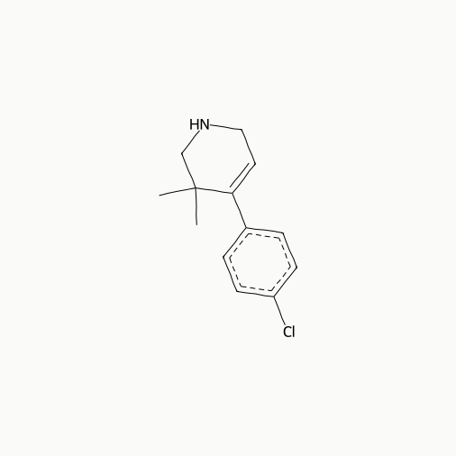 CC1(C)CNCC=C1c1ccc(Cl)cc1